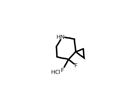 Cl.FC1(F)CCNCC12CC2